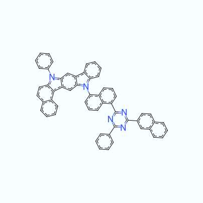 c1ccc(-c2nc(-c3ccc4ccccc4c3)nc(-c3cccc4c(-n5c6ccccc6c6cc7c(cc65)c5c6ccccc6ccc5n7-c5ccccc5)cccc34)n2)cc1